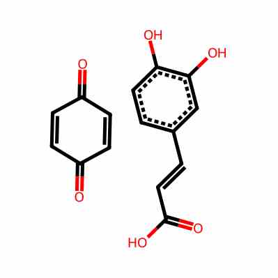 O=C(O)/C=C/c1ccc(O)c(O)c1.O=C1C=CC(=O)C=C1